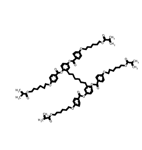 C=C(C)C(=O)OCCCCCCOc1ccc(C(=O)Oc2ccc(OC(=O)c3ccc(OCCCCCCOC(=O)C(=C)C)cc3)c(CCCCCCc3cc(OC(=O)c4ccc(OCCCCCCOC(=O)C(=C)C)cc4)ccc3OC(=O)c3ccc(OCCCCCCOC(=O)C(=C)C)cc3)c2)cc1